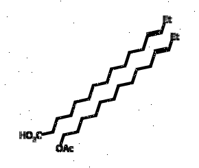 CC/C=C/CCCCCCCCCCCC(=O)O.CC/C=C/CCCCCCCCCCOC(C)=O